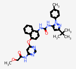 COCC(=O)Nc1cc(Oc2ccc(NC(=O)Nc3cc(C(C)(C)C)nn3-c3ccc(C)cc3)c3ccccc23)ncn1